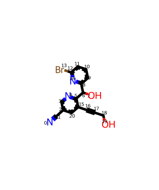 N#Cc1cnc(C(O)c2cccc(Br)n2)c(C#CCO)c1